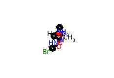 Cc1nn(-c2ccccc2)c(C)c1-c1noc(NC(=O)c2ccc(Br)cc2)c1-c1ccccc1C(N)=O